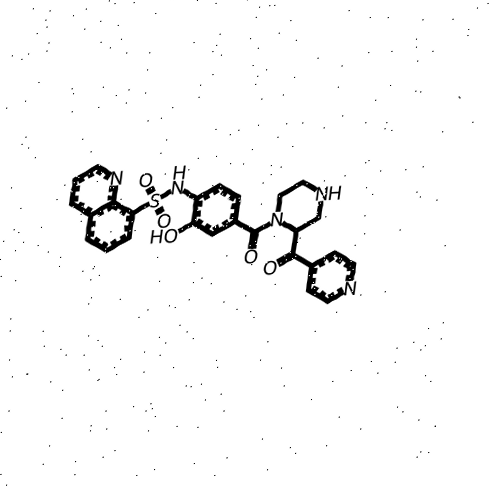 O=C(c1ccncc1)C1CNCCN1C(=O)c1ccc(NS(=O)(=O)c2cccc3cccnc23)c(O)c1